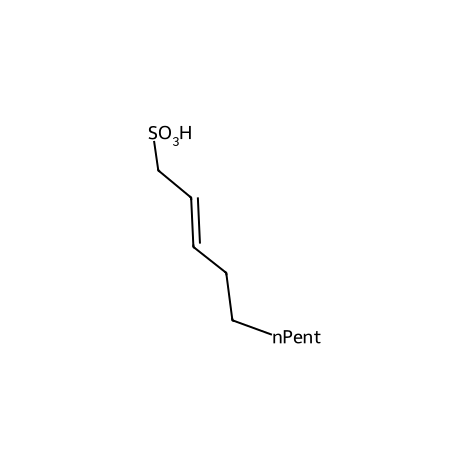 CCCCCCC/C=C/CS(=O)(=O)O